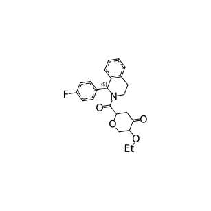 CCOC1COC(C(=O)N2CCc3ccccc3[C@@H]2c2ccc(F)cc2)CC1=O